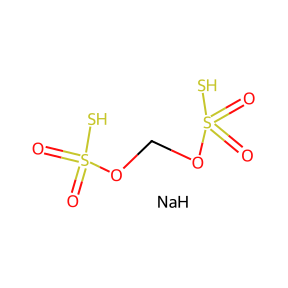 O=S(=O)(S)OCOS(=O)(=O)S.[NaH]